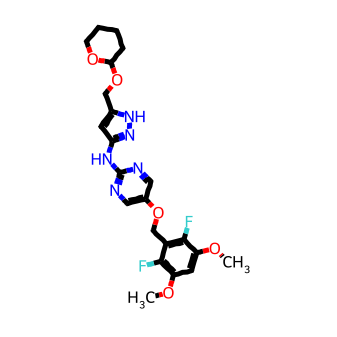 COc1cc(OC)c(F)c(COc2cnc(Nc3cc(COC4CCCCO4)[nH]n3)nc2)c1F